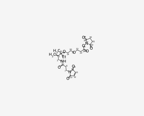 C=C(CNC(=O)CCN1C(=O)C=CC1=O)C(C)(CC)OCCOCCC(=O)ON1C(=O)CCC1=O